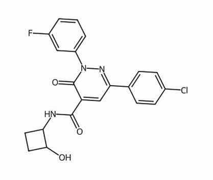 O=C(NC1CCC1O)c1cc(-c2ccc(Cl)cc2)nn(-c2cccc(F)c2)c1=O